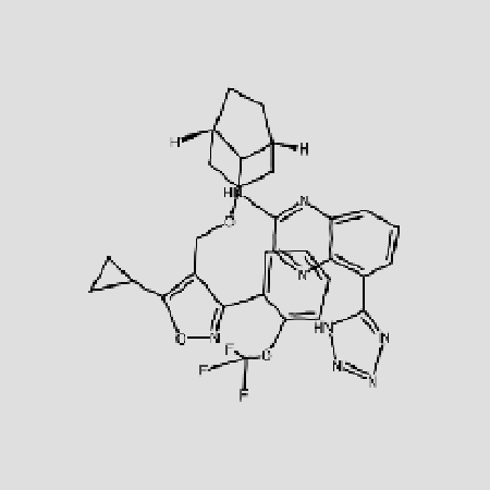 FC(F)(F)Oc1ccccc1-c1noc(C2CC2)c1COC1C[C@H]2CC[C@@H](C1)C2Nc1cnc2c(-c3nnn[nH]3)cccc2n1